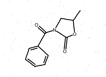 CC1CN(C(=O)c2ccccc2)C(=O)O1